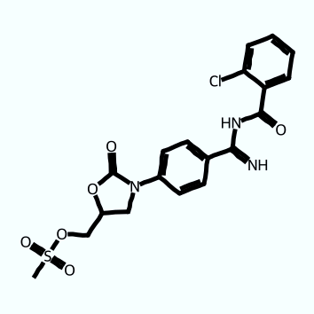 CS(=O)(=O)OCC1CN(c2ccc(C(=N)NC(=O)c3ccccc3Cl)cc2)C(=O)O1